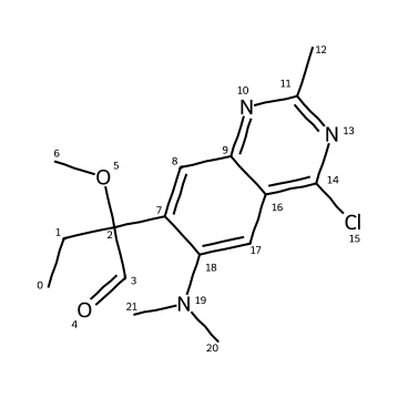 CCC(C=O)(OC)c1cc2nc(C)nc(Cl)c2cc1N(C)C